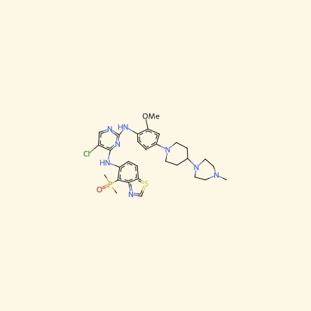 COc1cc(N2CCC(N3CCN(C)CC3)CC2)ccc1Nc1ncc(Cl)c(Nc2ccc3scnc3c2P(C)(C)=O)n1